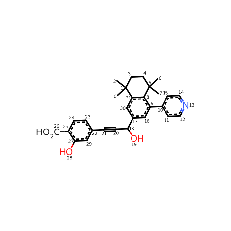 CC1(C)CCC(C)(C)c2c(-c3ccncc3)cc(C(O)C#Cc3ccc(C(=O)O)c(O)c3)cc21